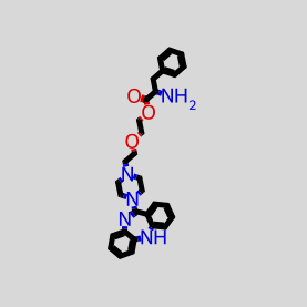 NC(Cc1ccccc1)C(=O)OCCOCCN1CCN(C2=Nc3ccccc3Nc3ccccc32)CC1